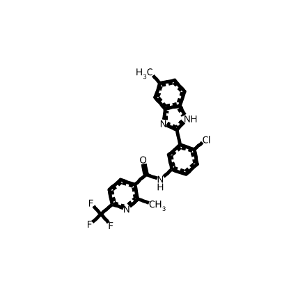 Cc1ccc2[nH]c(-c3cc(NC(=O)c4ccc(C(F)(F)F)nc4C)ccc3Cl)nc2c1